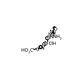 Cl.Nc1nc(N2CCCC(CN3CCN(c4ccc(OCCCC(=O)O)cc4F)CC3)C2)nc2nc(-c3ccco3)nn12